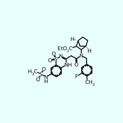 CCOC(=O)C1C(N(Cc2ccc(C)c(F)c2)C(=O)CC2=NS(=O)(=O)c3cc(NS(C)(=O)=O)ccc3N2)[C@@H]2CC[C@H]1C2